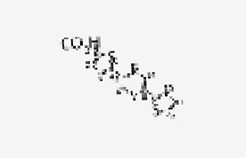 O=C(O)c1ccc(-c2ccc(-c3cccs3)cc2)s1